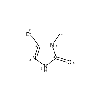 CCc1n[nH]c(=O)n1C